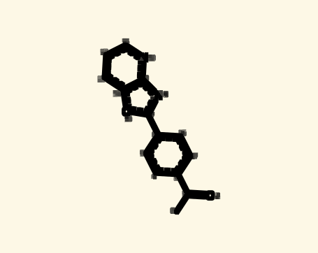 CC(=O)c1ccc(-c2nc3ncccc3o2)cc1